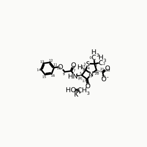 CC1(C)S[C@@H]2[C@H](NC(=O)COc3ccccc3)C(=O)N2[C@H]1C(=O)[O-].CO.[K+]